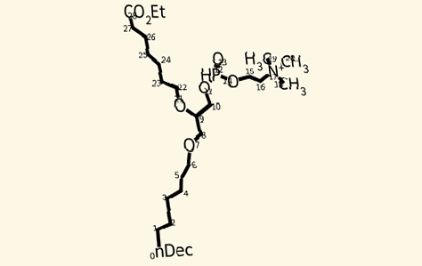 CCCCCCCCCCCCCCCCOCC(CO[PH](=O)OCC[N+](C)(C)C)OCCCCCCC(=O)OCC